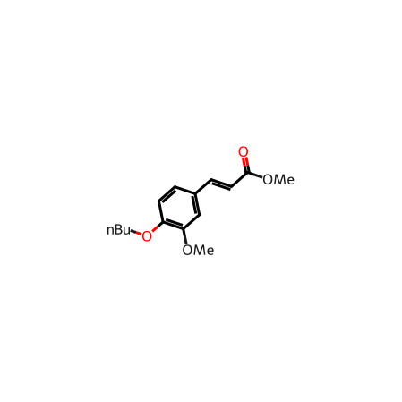 CCCCOc1ccc(C=CC(=O)OC)cc1OC